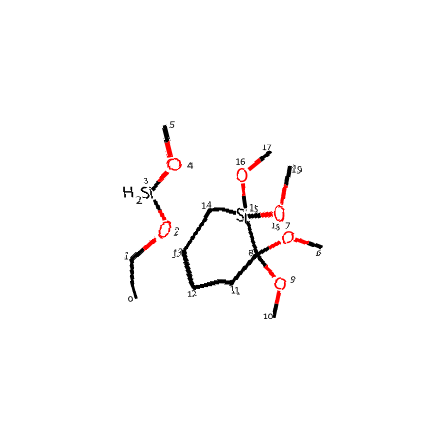 CCO[SiH2]OC.COC1(OC)CCCC[Si]1(OC)OC